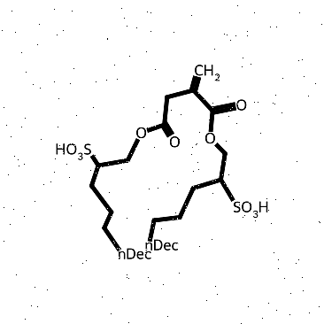 C=C(CC(=O)OCC(CCCCCCCCCCCCC)S(=O)(=O)O)C(=O)OCC(CCCCCCCCCCCCC)S(=O)(=O)O